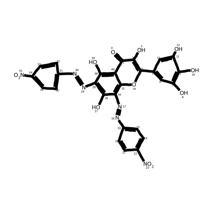 O=c1c(O)c(-c2cc(O)c(O)c(O)c2)oc2c(N=Nc3ccc([N+](=O)[O-])cc3)c(O)c(N=Nc3ccc([N+](=O)[O-])cc3)c(O)c12